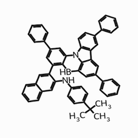 CC(C)(C)c1ccc(Nc2cc3ccccc3cc2-c2cc(-c3ccccc3)cc3c2Bc2cc(-c4ccccc4)cc4c5cc(-c6ccccc6)ccc5n-3c24)cc1